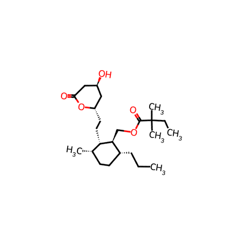 CCC[C@@H]1CC[C@H](C)[C@H](CC[C@H]2C[C@H](O)CC(=O)O2)[C@H]1COC(=O)C(C)(C)CC